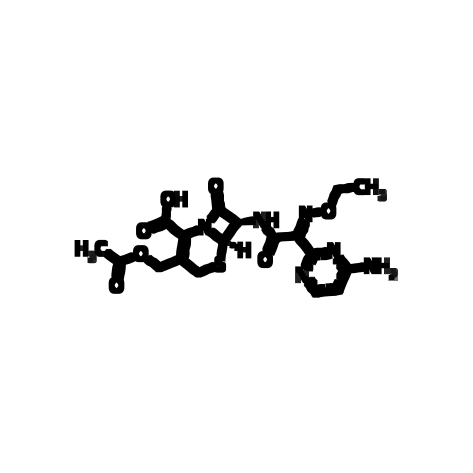 CCON=C(C(=O)N[C@@H]1C(=O)N2C(C(=O)O)=C(COC(C)=O)CS[C@H]12)c1nccc(N)n1